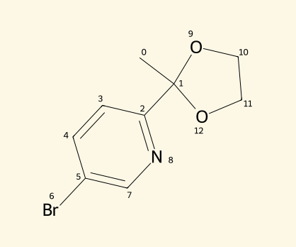 CC1(c2ccc(Br)cn2)OCCO1